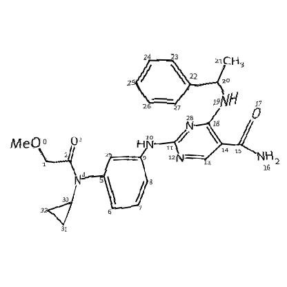 COCC(=O)N(c1cccc(Nc2ncc(C(N)=O)c(NC(C)c3ccccc3)n2)c1)C1CC1